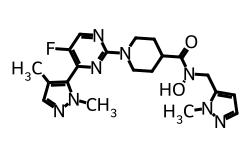 Cc1cnn(C)c1-c1nc(N2CCC(C(=O)N(O)Cc3ccnn3C)CC2)ncc1F